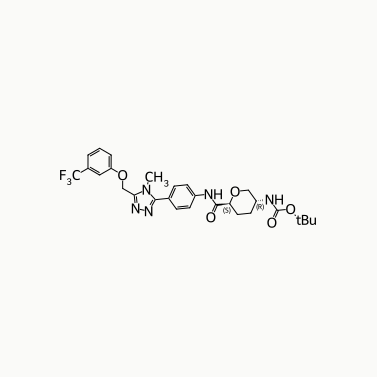 Cn1c(COc2cccc(C(F)(F)F)c2)nnc1-c1ccc(NC(=O)[C@@H]2CC[C@@H](NC(=O)OC(C)(C)C)CO2)cc1